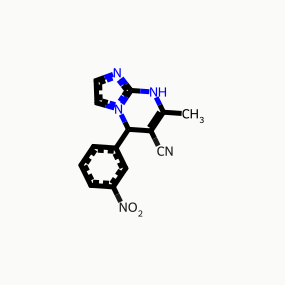 CC1=C(C#N)C(c2cccc([N+](=O)[O-])c2)n2ccnc2N1